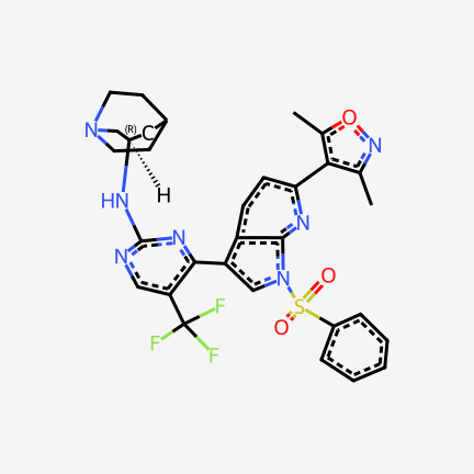 Cc1noc(C)c1-c1ccc2c(-c3nc(N[C@@H]4CC5CCN(CC5)C4)ncc3C(F)(F)F)cn(S(=O)(=O)c3ccccc3)c2n1